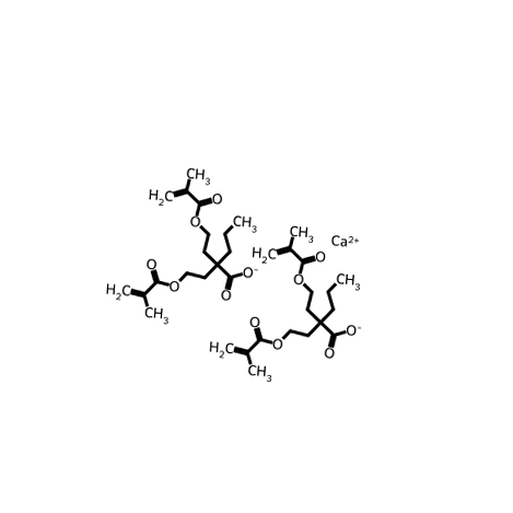 C=C(C)C(=O)OCCC(CCC)(CCOC(=O)C(=C)C)C(=O)[O-].C=C(C)C(=O)OCCC(CCC)(CCOC(=O)C(=C)C)C(=O)[O-].[Ca+2]